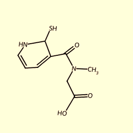 CN(CC(=O)O)C(=O)C1=CC=CNC1S